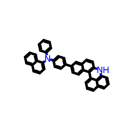 c1ccc(N(c2ccc(-c3ccc4c5c(ccc4c3)Nc3cccc4cccc-5c34)cc2)c2cccc3ccccc23)cc1